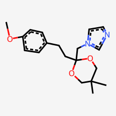 COc1ccc(CCC2(Cn3ccnc3)OCC(C)(C)CO2)cc1